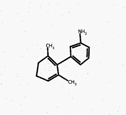 CC1=CCCC(C)=C1c1cccc(N)c1